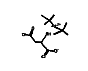 C[C](C)(C)[Sn+2][C](C)(C)C.O=C([O-])CC(O)C(=O)[O-]